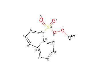 CCCOOS(=O)(=O)c1cccc2ccccc12